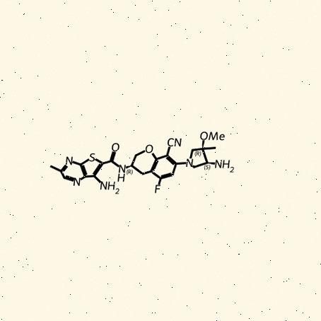 CO[C@]1(C)CN(c2cc(F)c3c(c2C#N)OC[C@H](NC(=O)c2sc4nc(C)cnc4c2N)C3)C[C@@H]1N